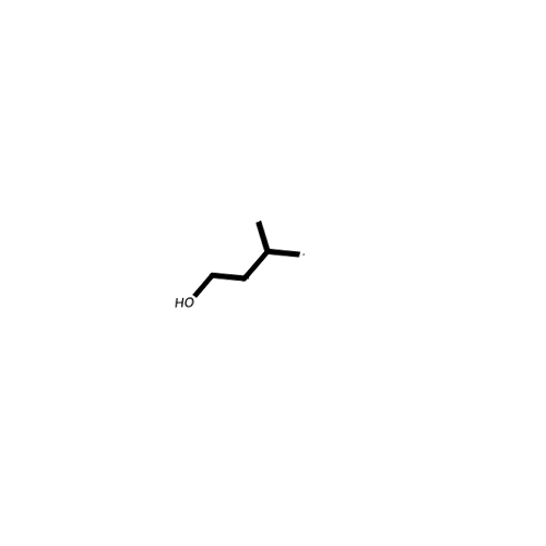 [CH2]C(C)[CH]CO